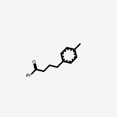 Cc1ccc(CCCC(=O)C(C)C)cc1